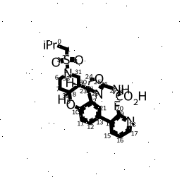 CC(C)CS(=O)(=O)N1CC[C@H]2Oc3ccc(-c4cccnc4F)cc3[C@@]3(COC(NC(=O)O)=N3)[C@@H]2C1